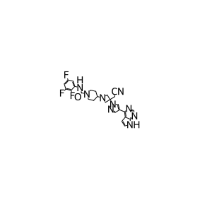 N#CCC1(n2cc(-c3ncnc4[nH]ccc34)cn2)CN(C2CCN(C(=O)Nc3cc(F)cc(F)c3F)CC2)C1